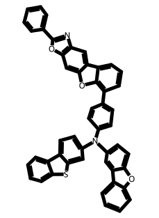 c1ccc(-c2nc3cc4c(cc3o2)oc2c(-c3ccc(N(c5ccc6c(c5)sc5ccccc56)c5ccc6oc7ccccc7c6c5)cc3)cccc24)cc1